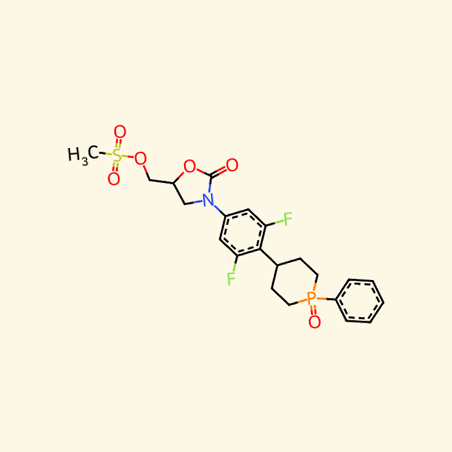 CS(=O)(=O)OCC1CN(c2cc(F)c(C3CCP(=O)(c4ccccc4)CC3)c(F)c2)C(=O)O1